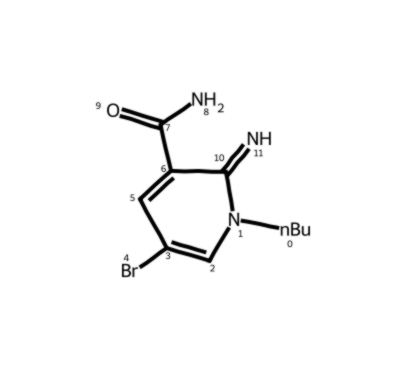 CCCCn1cc(Br)cc(C(N)=O)c1=N